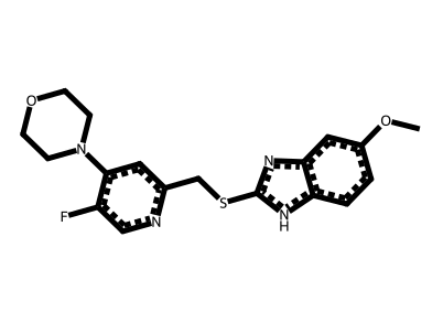 COc1ccc2[nH]c(SCc3cc(N4CCOCC4)c(F)cn3)nc2c1